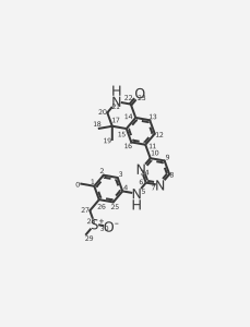 Cc1ccc(Nc2nccc(-c3ccc4c(c3)C(C)(C)CNC4=O)n2)cc1C[S+](C)[O-]